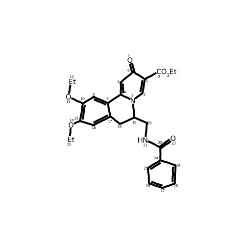 CCOC(=O)c1cn2c(cc1=O)-c1cc(OCC)c(OCC)cc1CC2CNC(=O)c1ccccc1